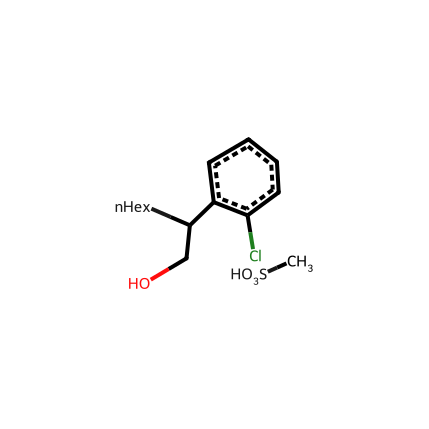 CCCCCCC(CO)c1ccccc1Cl.CS(=O)(=O)O